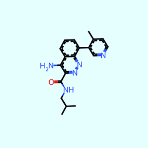 Cc1ccncc1-c1cccc2c(N)c(C(=O)NCC(C)C)nnc12